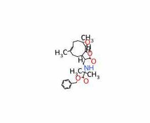 C/C1=C\CC[C@@]2(C)O[C@H]2[C@H]2OC(=O)[C@@H](CNC(C)(C)C(=O)OCc3ccccc3)[C@@H]2CC1